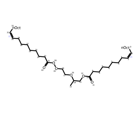 CCCCCCCC/C=C\CCCCCCCC(=O)OCC(C)OCCOOC(=O)CCCCCCC/C=C\CCCCCCCC